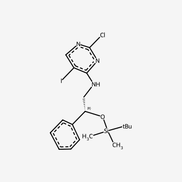 CC(C)(C)[Si](C)(C)O[C@@H](CNc1nc(Cl)ncc1I)c1ccccc1